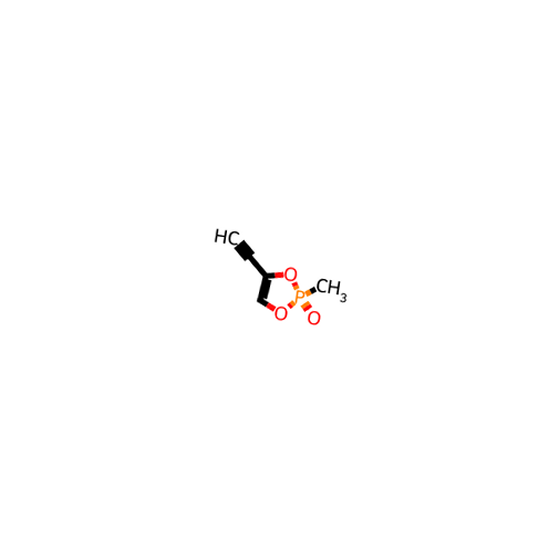 C#CC1=COP(C)(=O)O1